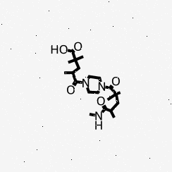 CNC(=O)C(C)CC(C)(C)C(=O)N1CCN(C(=O)C(C)CC(C)(C)C(=O)O)CC1